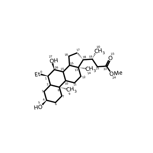 CC[C@@H]1C2C[C@H](O)CC[C@]2(C)C2CC[C@@]3(C)C(CC[C@@H]3[C@H](C)CC(=O)OC)C2[C@@H]1O